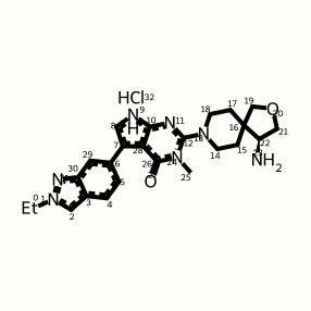 CCn1cc2ccc(-c3c[nH]c4nc(N5CCC6(CC5)COC[C@H]6N)n(C)c(=O)c34)cc2n1.Cl